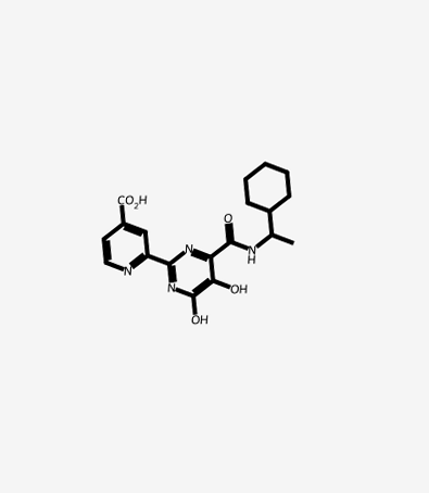 CC(NC(=O)c1nc(-c2cc(C(=O)O)ccn2)nc(O)c1O)C1CCCCC1